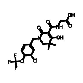 CC1(C)CN(Cc2ccc(OC(F)(F)F)c(Cl)c2)C(=O)C(C(=O)NCC(=O)O)=C1O